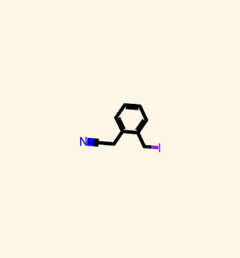 N#CCc1ccccc1CI